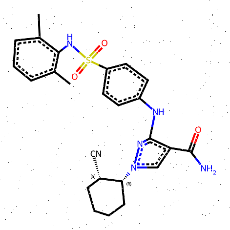 Cc1cccc(C)c1NS(=O)(=O)c1ccc(Nc2nn([C@@H]3CCCC[C@@H]3C#N)cc2C(N)=O)cc1